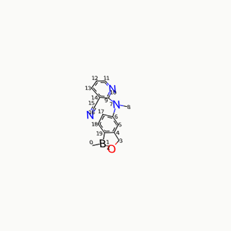 CB1OCc2cc(N(C)c3ncccc3C#N)ccc21